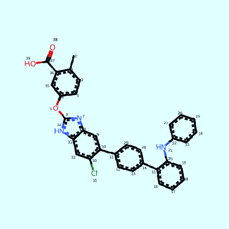 Cc1ccc(Oc2nc3cc(-c4ccc(-c5ccccc5Nc5ccccc5)cc4)c(Cl)cc3[nH]2)cc1C(=O)O